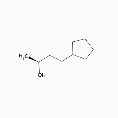 C[C@H](O)CCC1CCCC1